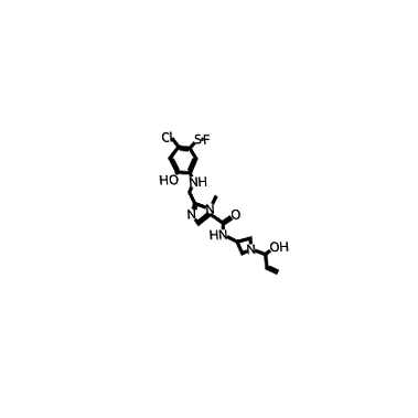 C=CC(O)N1CC(NC(=O)c2cnc(CNc3cc(SF)c(Cl)cc3O)n2C)C1